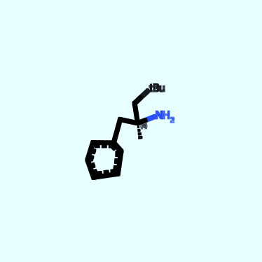 CC(C)(C)C[C@@](C)(N)Cc1ccccc1